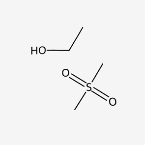 CCO.CS(C)(=O)=O